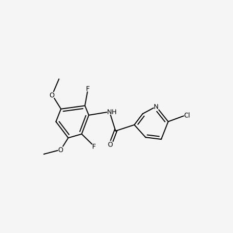 COc1cc(OC)c(F)c(NC(=O)c2ccc(Cl)nc2)c1F